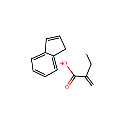 C1=Cc2ccccc2C1.C=C(CC)C(=O)O